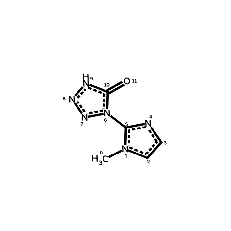 Cn1ccnc1-n1nn[nH]c1=O